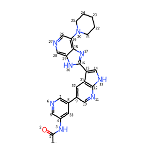 CCC(=O)Nc1cncc(-c2cnc3[nH]cc(-c4nc5c(N6CCCCC6)cncc5[nH]4)c3c2)c1